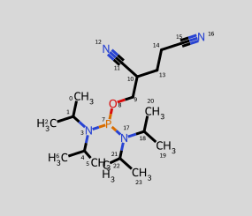 CC(C)N(C(C)C)P(OCC(C#N)CCC#N)N(C(C)C)C(C)C